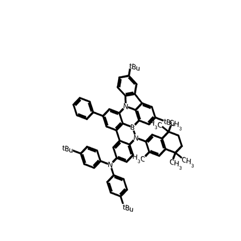 Cc1cc2c(cc1N1B3c4c(cc(-c5ccccc5)cc4-n4c5ccc(C(C)(C)C)cc5c5cc(C(C)(C)C)cc3c54)-c3cc(N(c4ccc(C(C)(C)C)cc4)c4ccc(C(C)(C)C)cc4)ccc31)C(C)(C)CCC2(C)C